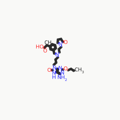 CCCCOc1nc(N)c2[nH]c(=O)n(CCCCN(CCCN3CCCC3=O)Cc3cccc(C(C)C(=O)O)c3)c2n1